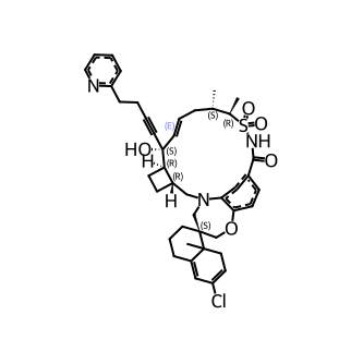 C[C@@H]1[C@@H](C)C/C=C/[C@](O)(C#CCCc2ccccn2)[C@@H]2CC[C@H]2CN2C[C@@]3(CCCC4=CC(Cl)=CCC43C)COc3ccc(cc32)C(=O)NS1(=O)=O